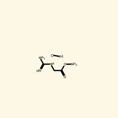 N=C(N)NCC(=O)ON.[Cl][Pd]